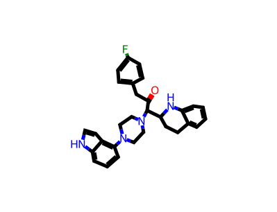 O=C(Cc1ccc(F)cc1)C(C1CCc2ccccc2N1)N1CCN(c2cccc3[nH]ccc23)CC1